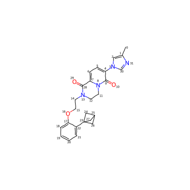 Cc1cn(-c2ccc3n(c2=O)CCN(CCOc2ccccc2C24CC(C2)C4)C3=O)cn1